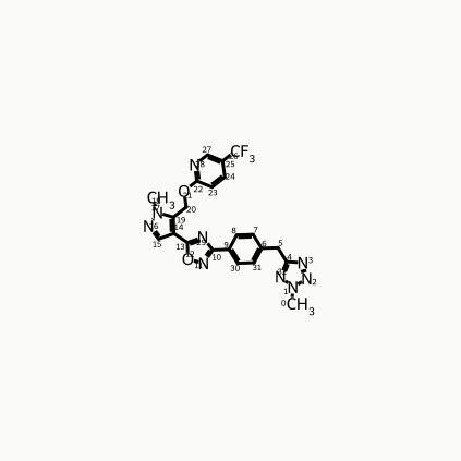 Cn1nnc(Cc2ccc(-c3noc(-c4cnn(C)c4COc4ccc(C(F)(F)F)cn4)n3)cc2)n1